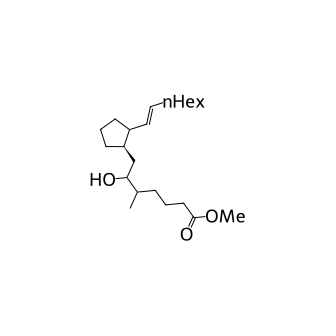 CCCCCC/C=C/C1CCC[C@@H]1CC(O)C(C)CCCC(=O)OC